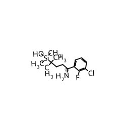 CC(C)(CC[C@H](N)c1cccc(Cl)c1F)[Si](C)(C)O